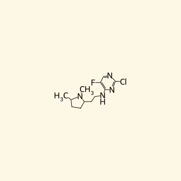 CC1CCC(CCNc2nc(Cl)ncc2F)N1C